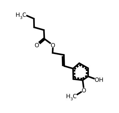 CCCCC(=O)OC/C=C/c1ccc(O)c(OC)c1